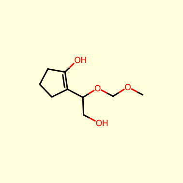 COCOC(CO)C1=C(O)CCC1